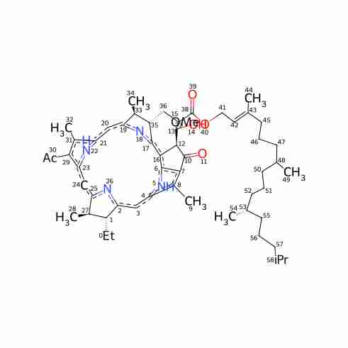 CC[C@H]1c2cc3[nH]c4c(c3C)C(=O)[C@H](C(O)OC)c4c3nc(cc4[nH]c(cc(n2)[C@@H]1C)c(C(C)=O)c4C)[C@@H](C)[C@@H]3CCC(=O)OC/C=C(\C)CCCC(C)CCC[C@@H](C)CCCC(C)C